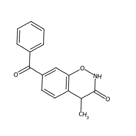 CC1C(=O)NOc2cc(C(=O)c3ccccc3)ccc21